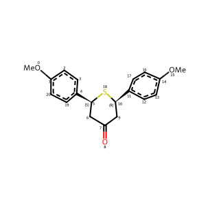 COc1ccc([C@@H]2CC(=O)C[C@H](c3ccc(OC)cc3)S2)cc1